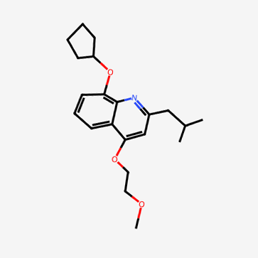 COCCOc1cc(C[C](C)C)nc2c(OC3CCCC3)cccc12